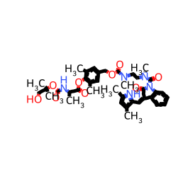 Cc1cc(C)c(/C=C2\C(=O)N(C(=O)N(C)CCN(C)C(=O)OCc3cc(C)c(OC(=O)C(C)NC(=O)OC(C)(C)CO)c(C)c3)c3ccccc32)[nH]1